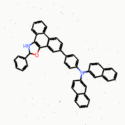 c1ccc(C2Nc3c(c4cc(-c5ccc(N(c6ccc7ccccc7c6)c6ccc7ccccc7c6)cc5)ccc4c4ccccc34)O2)cc1